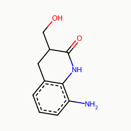 Nc1cccc2c1NC(=O)C(CO)C2